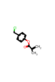 C=C(C)C(=O)Oc1ccc(CCl)cc1